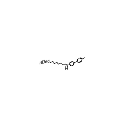 CCCCCCCCCCCCCCCCCCNc1ccc(-c2ccc(C)cc2)cc1